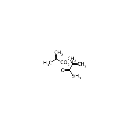 C=C(C)C(=O)O.C=C(C)C(=O)[SiH3]